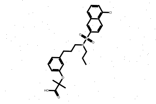 CCCN(CCCc1cccc(OC(C)(C)C(=O)O)c1)S(=O)(=O)c1ccc2c(Cl)cccc2c1